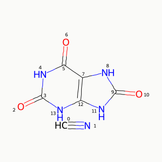 C#N.O=c1[nH]c(=O)c2[nH]c(=O)[nH]c2[nH]1